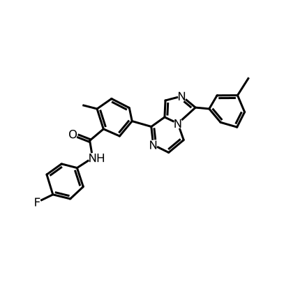 Cc1cccc(-c2ncc3c(-c4ccc(C)c(C(=O)Nc5ccc(F)cc5)c4)nccn23)c1